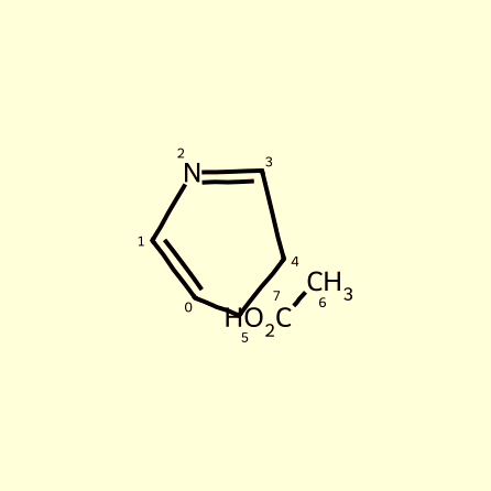 C1=CN=CCC1.CC(=O)O